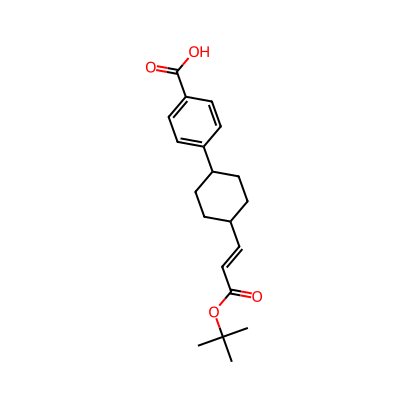 CC(C)(C)OC(=O)C=CC1CCC(c2ccc(C(=O)O)cc2)CC1